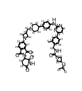 Cc1cc(-c2ccnc(Nc3ccc(C4CCN(CC5CN(c6ccc7c(c6)C(=O)N(C6CCC(=O)NC6=O)C7=O)C5)CC4)nc3)n2)ccc1CNC(=O)N1CC(OC(C)C)C1